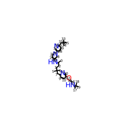 CC(CCC(C)(C)Cc1ccc(OCCNC(C)(C)C)cn1)N[C@@H]1CCN(c2ccc(CC(C)(C)C)nc2)C1